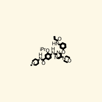 C=CC(=O)Nc1cccc(Oc2nc(Nc3ccc(C(=O)NC4CCN(C)CC4)cc3OC(C)C)ncc2N2CCOCC2)c1